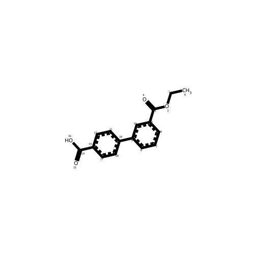 CCOC(=O)c1cc[c]c(-c2ccc(C(=O)O)cc2)c1